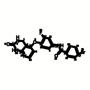 O=C1NCc2c(Oc3ccc(NC(=O)c4ccc(Br)cc4)cc3F)ccnc2N1